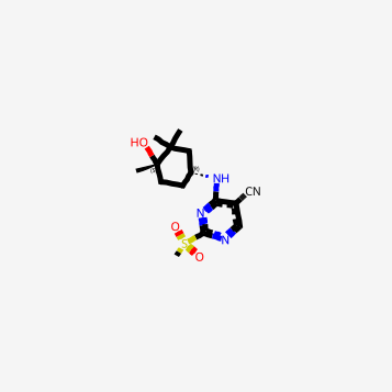 CC1(C)C[C@H](Nc2nc(S(C)(=O)=O)ncc2C#N)CC[C@]1(C)O